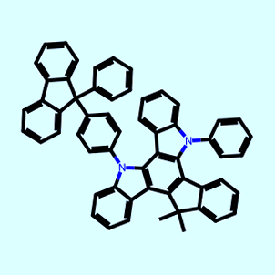 CC1(C)c2ccccc2-c2c1c1c3ccccc3n(-c3ccc(C4(c5ccccc5)c5ccccc5-c5ccccc54)cc3)c1c1c3ccccc3n(-c3ccccc3)c21